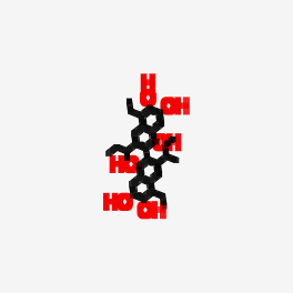 CCc1c(O)c(O)cc2c(O)c(-c3c(C(C)CC)cc4c(CC)c(O)c(O)cc4c3O)c(C(C)CC)cc12